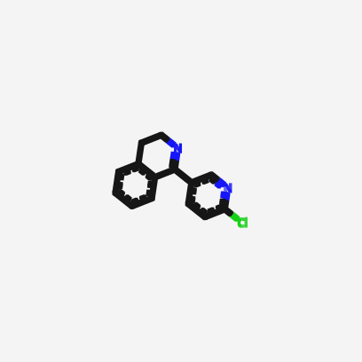 Clc1ccc(C2=NCCc3ccccc32)cn1